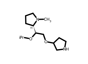 CC(C)OC(COC1CCNC1)[C@@H]1CCCN1C